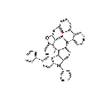 c1ccc(-c2ccc3c(c2)c2cc(N(c4ccccc4-c4ccccc4)c4cccc5oc6ccccc6c45)ccc2n3-c2ccccc2)cc1